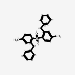 Cc1ccc(S(=O)(=O)c2ccc(C)cc2Cc2ccccc2)c(Cc2ccccc2)c1